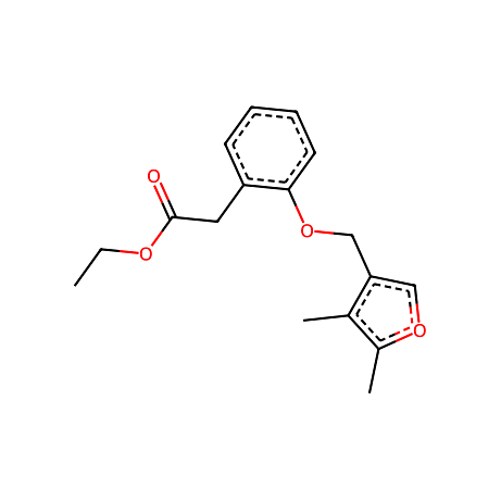 CCOC(=O)Cc1ccccc1OCc1coc(C)c1C